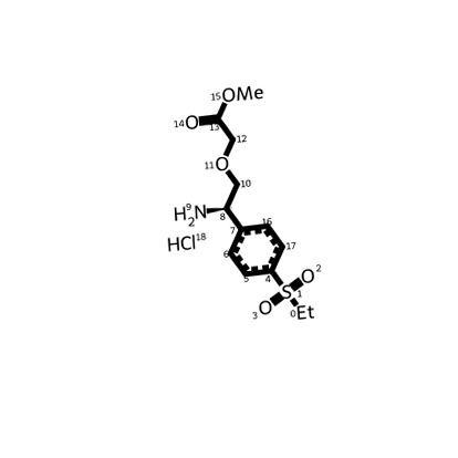 CCS(=O)(=O)c1ccc([C@@H](N)COCC(=O)OC)cc1.Cl